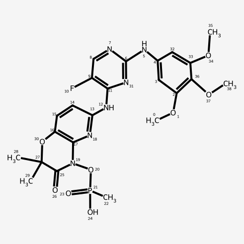 COc1cc(Nc2ncc(F)c(Nc3ccc4c(n3)N(OP(C)(=O)O)C(=O)C(C)(C)O4)n2)cc(OC)c1OC